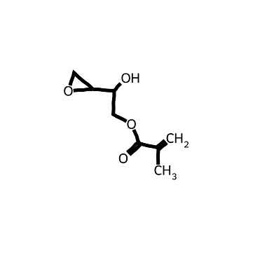 C=C(C)C(=O)OCC(O)C1CO1